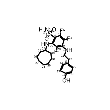 NS(=O)(=O)c1c(F)c(F)c(NCCc2ccc(O)cc2)c(F)c1NC1CCCCCCC1